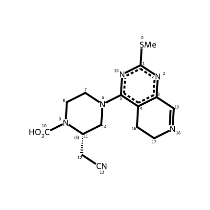 CSc1nc2c(c(N3CCN(C(=O)O)[C@@H](CC#N)C3)n1)CCN=C2